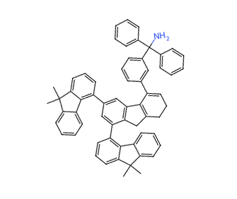 CC1(C)c2ccccc2-c2c(-c3cc4c(c(-c5cccc6c5-c5ccccc5C6(C)C)c3)CC3=C4C(c4cccc(C(N)(c5ccccc5)c5ccccc5)c4)=CCC3)cccc21